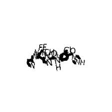 Cn1c(-c2cn(Cc3cccnc3)nc2C(F)(F)F)cnc1C(=O)Nc1ccc(C(=O)N2CCNCC2)c(Cl)c1